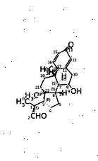 C[C@H](C=O)[C@H]1CC[C@H]2[C@@H]3C(O)CC4=CC(=O)C=C[C@]4(C)[C@H]3CC[C@]12C